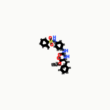 Cc1ccccc1S(=O)(=O)Nc1ccc(NC(=O)N[C@@H](Cc2ccccc2)C(=O)OC(C)(C)C)cc1